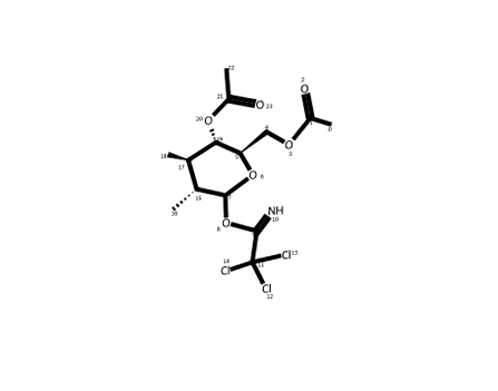 CC(=O)OC[C@H]1OC(OC(=N)C(Cl)(Cl)Cl)[C@H](C)[C@@H](C)[C@@H]1OC(C)=O